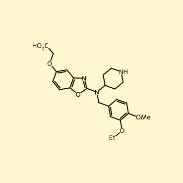 CCOc1cc(CN(c2nc3cc(OCC(=O)O)ccc3o2)C2CCNCC2)ccc1OC